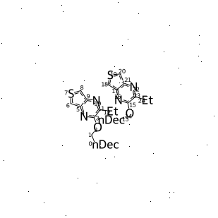 CCCCCCCCCCCOc1nc2cscc2nc1CC.CCCCCCCCCCOc1nc2cscc2nc1CC